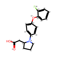 O=C(O)CC1CCCN1c1ccc(Oc2ccccc2F)cc1